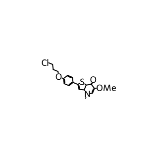 COC1=CN(C)C2C=C(c3ccc(OCCCCl)cc3)SC2C1=O